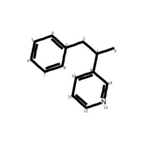 CC(Cc1ccccc1)c1cccnc1